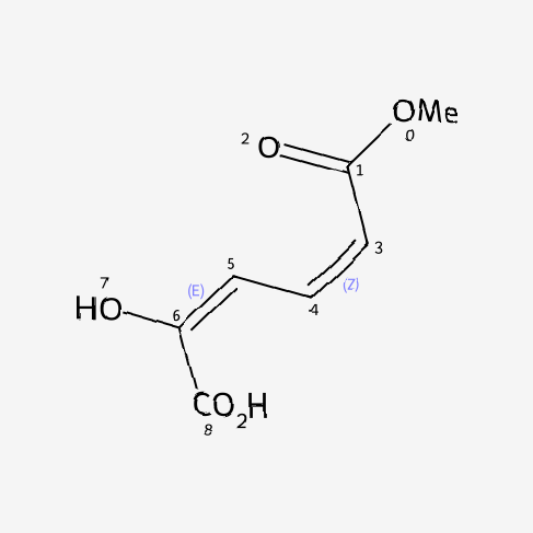 COC(=O)/C=C\C=C(\O)C(=O)O